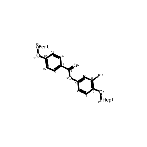 CCCCCCCOc1ccc(OC(=O)c2ccc(OCCCCC)cc2)cc1F